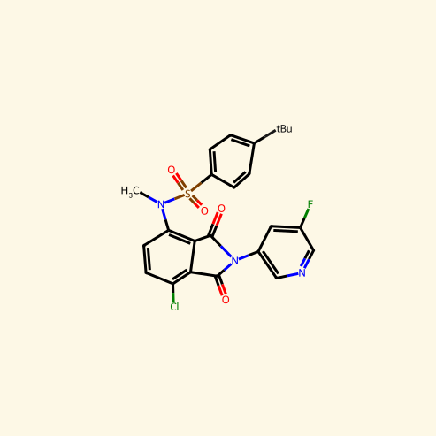 CN(c1ccc(Cl)c2c1C(=O)N(c1cncc(F)c1)C2=O)S(=O)(=O)c1ccc(C(C)(C)C)cc1